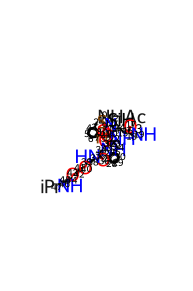 CC(=O)N[SH](Cc1ccccc1)C(=O)N([SiH3])[C@@H](CCC(=O)C=N)C(=O)N[C@@H](Cc1ccccc1)C(=O)NCC(=O)NCCOCCOCCNC(C)C